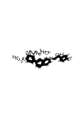 COc1cc(-c2ccc3c(c2)C[C@@H](NC[C@H](O)c2ccc(Cl)cc2)CC3)ccc1C(=O)O.Cl